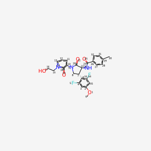 COc1cc(F)c([C@@H]2CN(c3cccn(CCO)c3=O)C(=O)[C@H]2NC(=O)c2ccc(C)cc2)c(F)c1